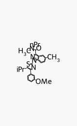 CCCN(C)C(=O)c1nn(-c2nc(-c3cccc(OC)c3)c(C(C)C)s2)c2ccc(C)cc12